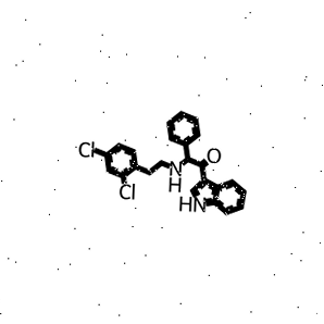 O=C(c1c[nH]c2ccccc12)C(NCCc1ccc(Cl)cc1Cl)c1ccccc1